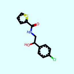 O=C(NCC(O)c1ccc(Cl)cc1)c1cccs1